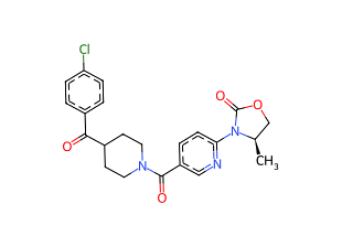 C[C@@H]1COC(=O)N1c1ccc(C(=O)N2CCC(C(=O)c3ccc(Cl)cc3)CC2)cn1